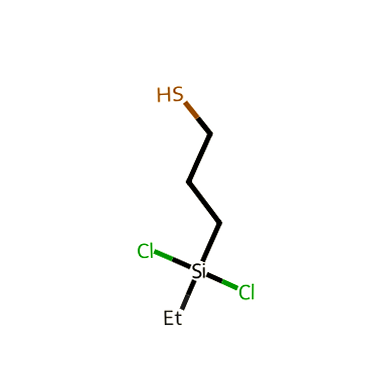 CC[Si](Cl)(Cl)CCCS